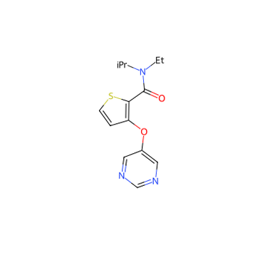 CCN(C(=O)c1sccc1Oc1cncnc1)C(C)C